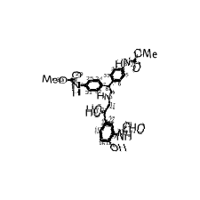 COC(=O)Nc1ccc(C(CNC[C@H](O)c2ccc(O)c(NC=O)c2)c2ccc(NC(=O)OC)cc2)cc1